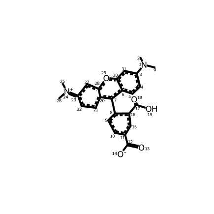 CN(C)c1ccc2c(-c3ccc(C(=O)[O-])cc3C(=O)O)c3ccc(=[N+](C)C)cc-3oc2c1